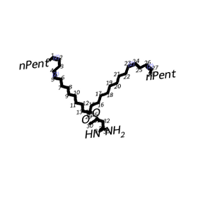 CCCCC/C=C\C/C=C\CCCCCCCCC1(CCCCCCCC/C=C\C/C=C\CCCCC)OCC(CC(=N)N)O1